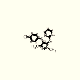 Cc1nn(C)c(Sc2ncccn2)c1Sc1ccc(Cl)cc1